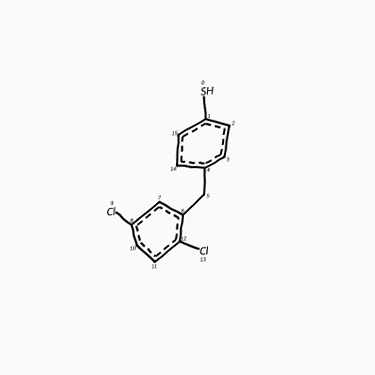 Sc1ccc(Cc2cc(Cl)ccc2Cl)cc1